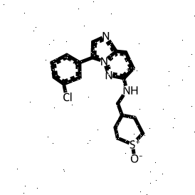 [O-][S+]1CCC(CNc2ccc3ncc(-c4cccc(Cl)c4)n3n2)CC1